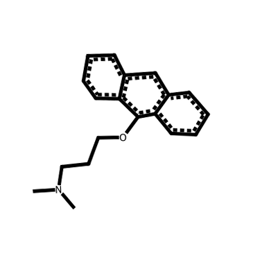 CN(C)CCCOc1c2ccccc2cc2ccccc12